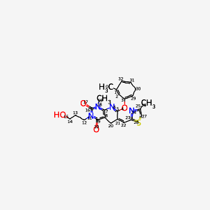 CC1=CC(OC2=Nc3c(c(=O)n(CCCO)c(=O)n3C)C/C2=C/c2nc(C)cs2)=CCC=C1